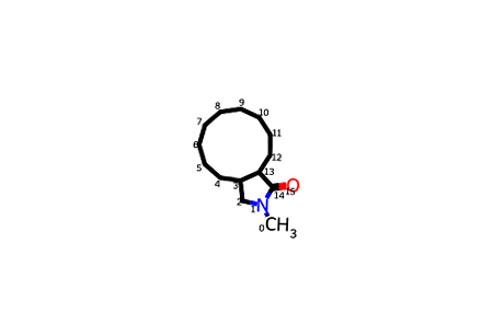 CN1CC2CCCCCCCCCC2C1=O